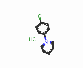 Cl.Clc1ccc(-[n+]2ccccc2)cc1